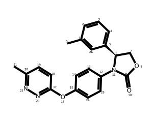 Cc1cccc([C@H]2COC(=O)N2c2ccc(Oc3ccc(C)nn3)cc2)c1